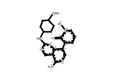 COC1CCC(Nc2ncc3c(N)ncc(-c4cccn(C(C)C)c4=O)c3n2)CC1